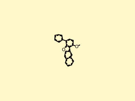 COc1ccc(-c2ccccc2)c2oc3cc4ccccc4cc3c12